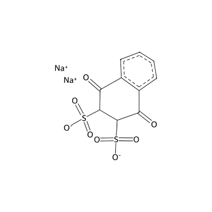 O=C1c2ccccc2C(=O)C(S(=O)(=O)[O-])C1S(=O)(=O)[O-].[Na+].[Na+]